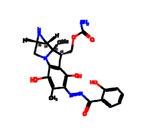 CO[C@@]12[C@H](COC(N)=O)c3c(O)c(N=NC(=O)c4ccccc4O)c(C)c(O)c3N1C[C@@H]1N[C@@H]12